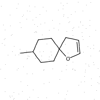 CC1CCC2(CC=CO2)CC1